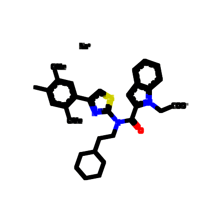 COc1cc(-c2csc(N(CCC3CCCCC3)C(=O)c3cc4ccccc4n3CC(=O)[O-])n2)c(OC)cc1C.[Na+]